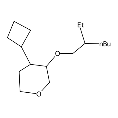 CCCCC(CC)COC1COCCC1C1CCC1